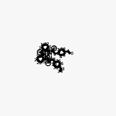 C=Cc1ccc(CC(=O)Nc2ccccc2S(=O)(=O)c2ccccc2NC(=O)Cc2ccc(C=C)cc2)cc1